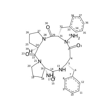 NN1C(=O)C[C@H](Cc2ccccc2)NC(=O)[C@@]2(N)CCCN2C(=O)[C@H]2CCCN2C(=O)[C@@H]1Cc1ccccc1